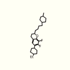 CCC1CCC(c2cc3c(c(F)c2F)OC(CCCCC2CCC(C)CC2)CC3)CC1